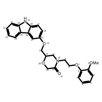 COc1ccccc1OCCN1CC(COc2ccc3[nH]c4ccccc4c3c2)OCC1=O